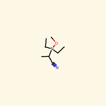 CC[Si](CC)(OC)C(C)C#N